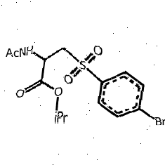 CC(=O)NC(CS(=O)(=O)c1ccc(Br)cc1)C(=O)OC(C)C